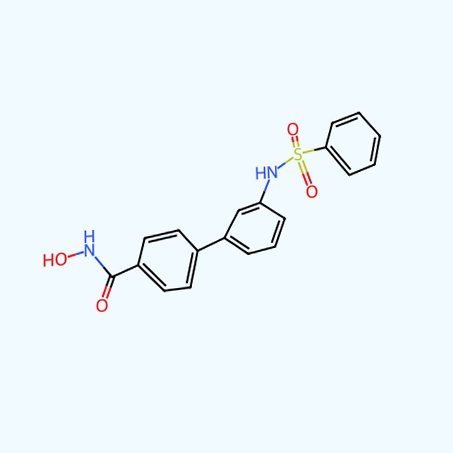 O=C(NO)c1ccc(-c2cccc(NS(=O)(=O)c3ccccc3)c2)cc1